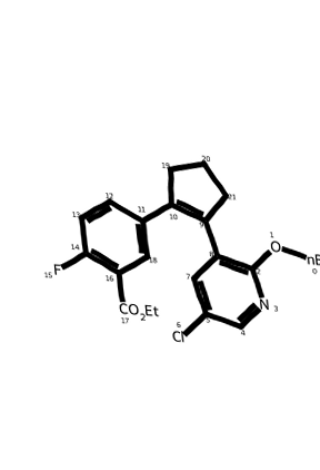 CCCCOc1ncc(Cl)cc1C1=C(c2ccc(F)c(C(=O)OCC)c2)CCC1